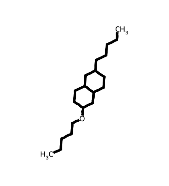 CCCCCOC1CCC2CC(CCCCC)CCC2C1